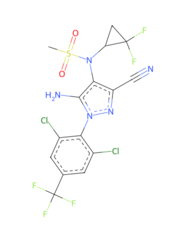 CS(=O)(=O)N(c1c(C#N)nn(-c2c(Cl)cc(C(F)(F)F)cc2Cl)c1N)C1CC1(F)F